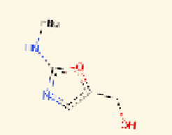 CCCCNc1ncc(CO)o1